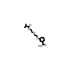 C=C(C)C(=O)OCCOCCOc1cccc(C(=O)O)c1